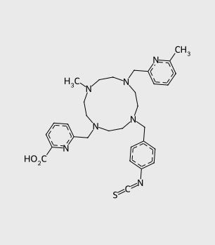 Cc1cccc(CN2CCN(C)CCN(Cc3cccc(C(=O)O)n3)CCN(Cc3ccc(N=C=S)cc3)CC2)n1